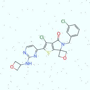 O=C1c2c(sc(-c3ccnc(NC4COC4)n3)c2Cl)C2(COC2)N1Cc1cccc(Cl)c1